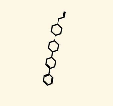 C=CC[C@H]1CC[C@H](C2CCC(C3CC=C(c4ccccc4)CC3)CC2)CC1